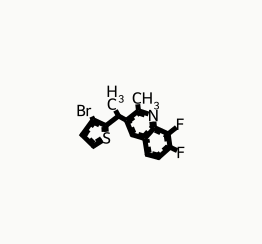 Cc1nc2c(F)c(F)ccc2cc1C(C)c1sccc1Br